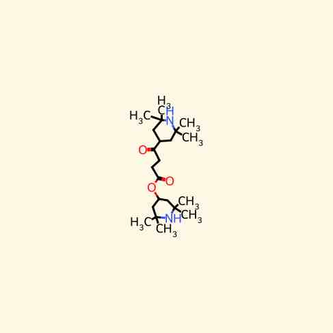 CC1(C)CC(OC(=O)CCC(=O)C2CC(C)(C)NC(C)(C)C2)CC(C)(C)N1